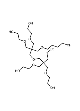 CCOCC(COCCO)(COCCO)COCC(COCCO)(COCCO)COCCCCO